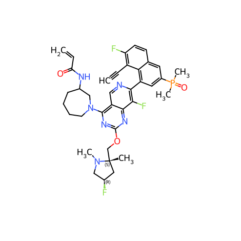 C#Cc1c(F)ccc2cc(P(C)(C)=O)cc(-c3ncc4c(N5CCCCC(NC(=O)C=C)C5)nc(OC[C@]5(C)C[C@@H](F)CN5C)nc4c3F)c12